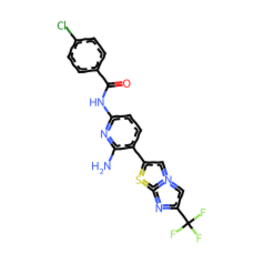 Nc1nc(NC(=O)c2ccc(Cl)cc2)ccc1-c1cn2cc(C(F)(F)F)nc2s1